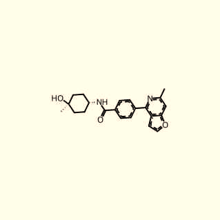 Cc1cc2occc2c(-c2ccc(C(=O)N[C@H]3CC[C@](C)(O)CC3)cc2)n1